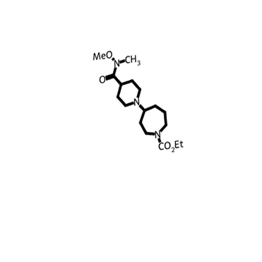 CCOC(=O)N1CCCC(N2CCC(C(=O)N(C)OC)CC2)CC1